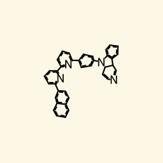 C1=CC2C(C=N1)c1ccccc1N2c1ccc(-c2cccc(-c3cccc(-c4ccc5ccccc5c4)n3)n2)cc1